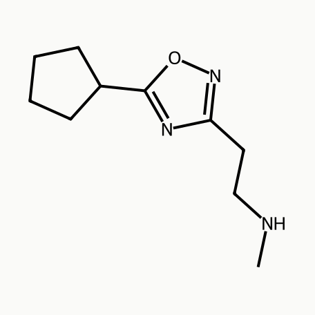 CNCCc1noc(C2CCCC2)n1